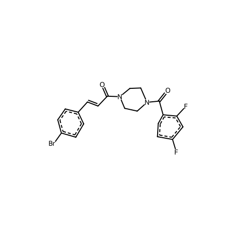 O=C(/C=C/c1ccc(Br)cc1)N1CCN(C(=O)c2ccc(F)cc2F)CC1